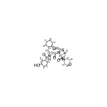 Cc1c(O)cccc1C(=O)N[C@@H](Cc1ccccc1)[C@H](O)C(=O)N1CSC(C)(C)[C@H]1C(=O)N1CCOCC1